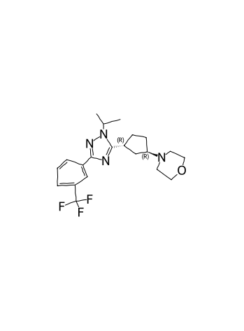 CC(C)n1nc(-c2cccc(C(F)(F)F)c2)nc1[C@@H]1CC[C@@H](N2CCOCC2)C1